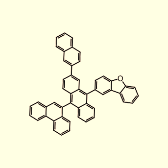 c1ccc2cc(-c3ccc4c(-c5cc6ccccc6c6ccccc56)c5ccccc5c(-c5ccc6oc7ccccc7c6c5)c4c3)ccc2c1